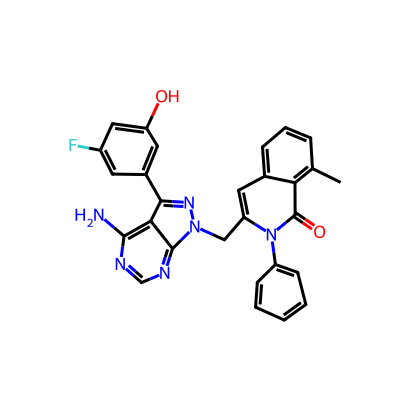 Cc1cccc2cc(Cn3nc(-c4cc(O)cc(F)c4)c4c(N)ncnc43)n(-c3ccccc3)c(=O)c12